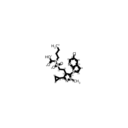 CCCCN(C(=O)O)S(=O)(=O)CCc1c(C2CC2)nn(C)c1-n1ccc2cc(Cl)cnc21